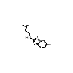 Cc1ccc2nc(NCCN(C)C)sc2c1